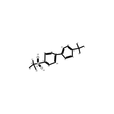 CC(C)(C)c1ccc(-c2ccc(S(=O)(=O)C(C)(C)C)cc2)cc1